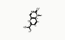 Cn1c(=O)ncc2nc(C(F)F)ccc21